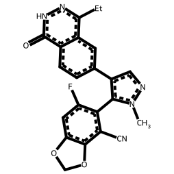 CCc1n[nH]c(=O)c2ccc(-c3cnn(C)c3-c3c(F)cc4c(c3C#N)OCO4)cc12